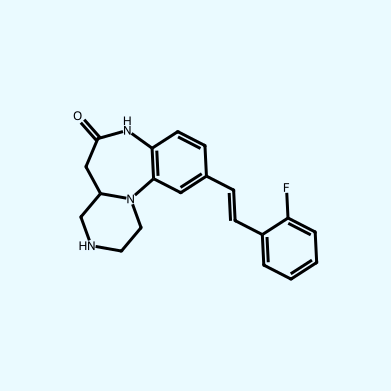 O=C1CC2CNCCN2c2cc(C=Cc3ccccc3F)ccc2N1